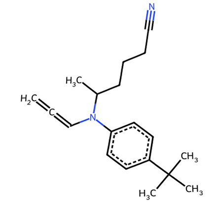 C=C=CN(c1ccc(C(C)(C)C)cc1)C(C)CCCC#N